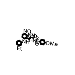 CCc1cccc(Nc2ccc([N+](=O)[O-])c3[nH]c(C(=O)NS(=O)(=O)c4ccc(OC)cc4)cc23)c1